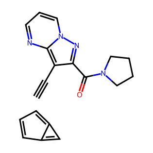 C#Cc1c(C(=O)N2CCCC2)nn2cccnc12.c1cc2cc-2c1